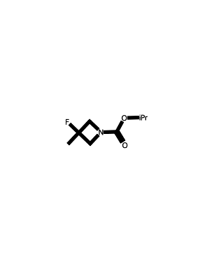 CC(C)OC(=O)N1CC(C)(F)C1